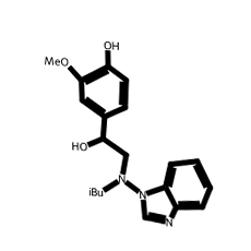 CCC(C)N(CC(O)c1ccc(O)c(OC)c1)n1cnc2ccccc21